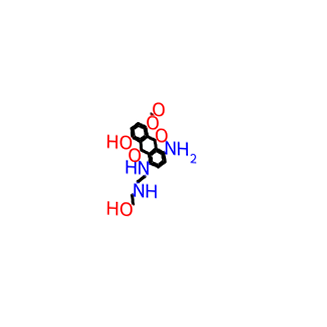 Nc1ccc(NCCNCCO)c2c1C(=O)c1c(OC=O)ccc(O)c1C2=O